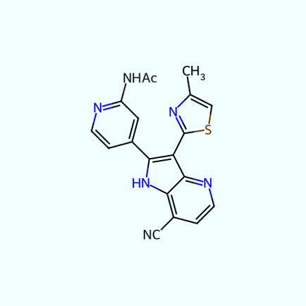 CC(=O)Nc1cc(-c2[nH]c3c(C#N)ccnc3c2-c2nc(C)cs2)ccn1